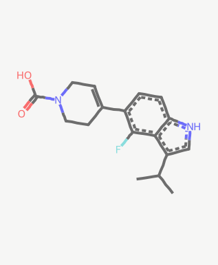 CC(C)c1c[nH]c2ccc(C3=CCN(C(=O)O)CC3)c(F)c12